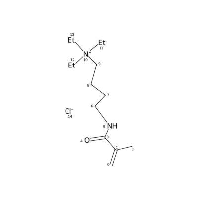 C=C(C)C(=O)NCCCC[N+](CC)(CC)CC.[Cl-]